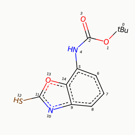 CC(C)(C)OC(=O)Nc1cccc2nc(S)oc12